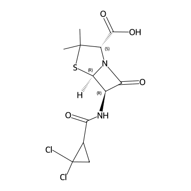 CC1(C)S[C@@H]2[C@H](NC(=O)C3CC3(Cl)Cl)C(=O)N2[C@H]1C(=O)O